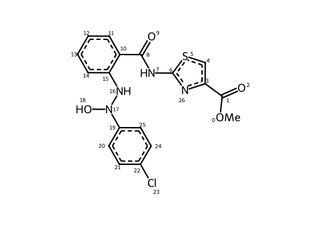 COC(=O)c1csc(NC(=O)c2ccccc2NN(O)c2ccc(Cl)cc2)n1